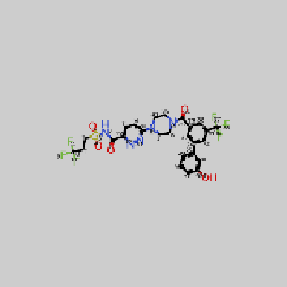 O=C(NS(=O)(=O)CCC(F)(F)F)c1ccc(N2CCN(C(=O)c3cc(-c4cccc(O)c4)cc(C(F)(F)F)c3)CC2)nn1